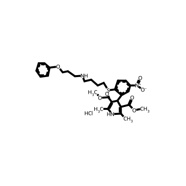 COC(=O)C1=C(C)NC(C)=C(C(=O)OC)C1c1cc([N+](=O)[O-])ccc1SCCCCNCCCOc1ccccc1.Cl